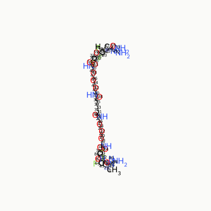 C/C(=C/c1cc(F)c(Oc2ccc(S(=O)(=O)NCCOCCOCCOCCNC(=O)CCCCCCC(=O)NCCOCCOCCOCCNS(=O)(=O)c3ccc(Oc4c(F)cc(/C=C(\C)C(=O)N=C(N)N)cc4F)cc3)cc2)c(F)c1)C(=O)N=C(N)N